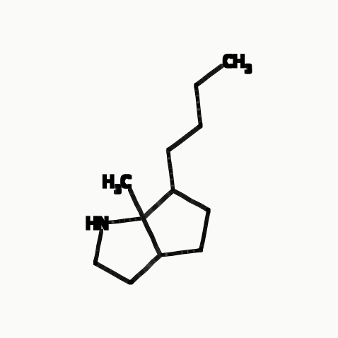 CCCCC1CCC2CCNC12C